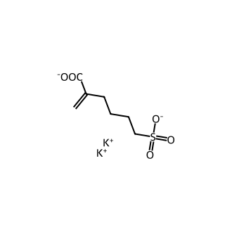 C=C(CCCCS(=O)(=O)[O-])C(=O)[O-].[K+].[K+]